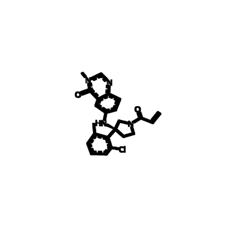 C=CC(=O)N1CC[C@](Nc2ccc3ncn(C)c(=O)c3c2)(c2c(C)cccc2Cl)C1